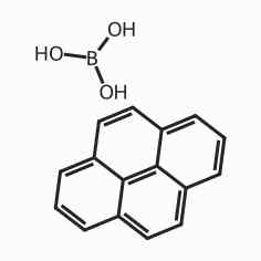 OB(O)O.c1cc2ccc3cccc4ccc(c1)c2c34